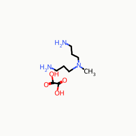 CN(CCCN)CCCN.O=C(O)C(=O)O